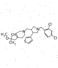 COC(C)(C)CC1CCN(CC2CN(Cc3ccc(Cl)cc3Cl)CC2c2ccsc2)CC1